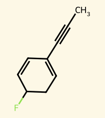 CC#CC1=CCC(F)C=C1